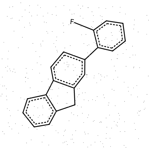 Fc1ccccc1-c1[c]c2c(cc1)-c1ccccc1C2